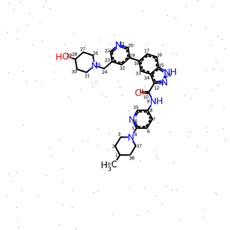 CC1CCN(c2ccc(NC(=O)c3n[nH]c4ccc(-c5cncc(CN6CCC(O)CC6)c5)cc34)cn2)CC1